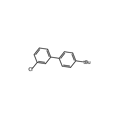 CC(C)(C)c1ccc(-c2cccc(Cl)c2)cc1